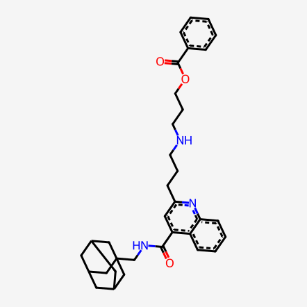 O=C(OCCCNCCCc1cc(C(=O)NCC23CC4CC(CC(C4)C2)C3)c2ccccc2n1)c1ccccc1